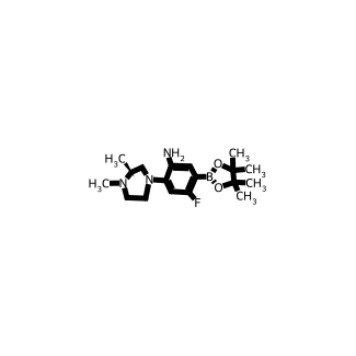 C[C@H]1CN(c2cc(F)c(B3OC(C)(C)C(C)(C)O3)cc2N)CCN1C